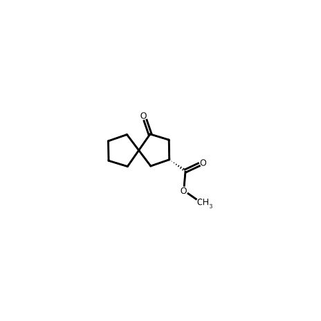 COC(=O)[C@H]1CC(=O)C2(CCCC2)C1